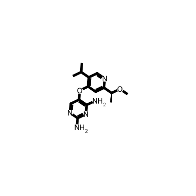 CO[C@@H](C)c1cc(Oc2cnc(N)nc2N)c(C(C)C)cn1